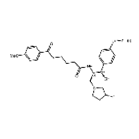 CCCCCCOc1ccc([C@@H](O)[C@@H](CN2CCC(F)C2)NC(=O)CCCCC(=O)c2ccc(OC)cc2)cc1